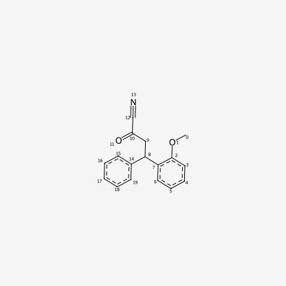 COc1ccccc1C(CC(=O)C#N)c1ccccc1